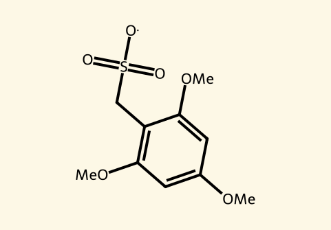 COc1cc(OC)c(CS([O])(=O)=O)c(OC)c1